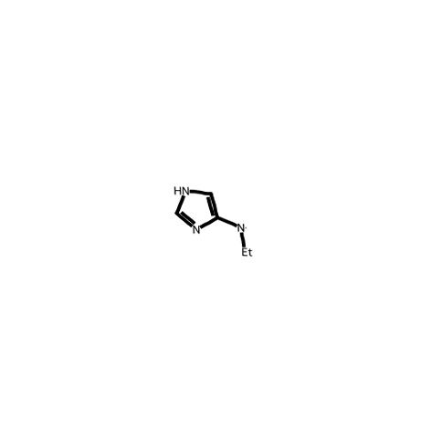 CC[N]c1c[nH]cn1